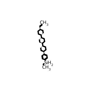 CC=C[C@H]1CC[C@H]([C@H]2CC[C@H]([C@H]3CC[C@H](c4ccc([SiH2]CC)cc4)CC3)CC2)CC1